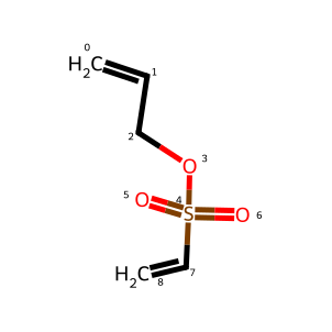 C=CCOS(=O)(=O)C=C